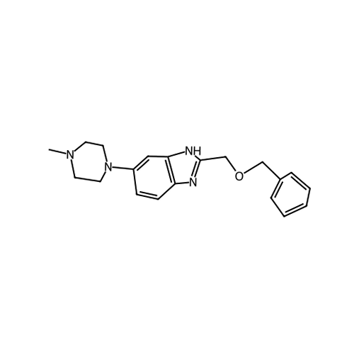 CN1CCN(c2ccc3nc(COCc4ccccc4)[nH]c3c2)CC1